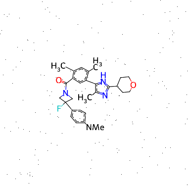 CNc1ccc(C2(F)CN(C(=O)c3cc(-c4[nH]c(C5CCOCC5)nc4C)c(C)cc3C)C2)cc1